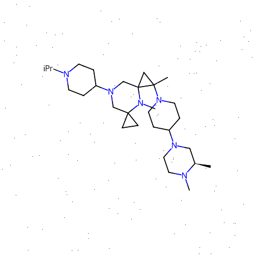 CC(C)N1CCC(N2CC3(CC3)N(C)C3(C2)CC3(C)N2CCC(N3CCN(C)[C@H](C)C3)CC2)CC1